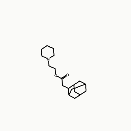 O=C(CC1C2CC3CC(C2)CC1C3)OCCN1CCCCC1